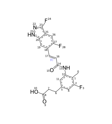 Cc1c(F)cc(CCC(=O)O)cc1NC(=O)/C=C/c1cc2[nH]nc(F)c2cc1F